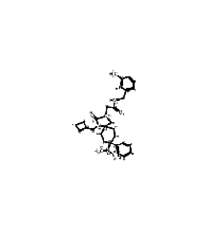 Cc1cccc(CNC(=O)CN2CC3(CCC(c4ccccc4)(N(C)C)CC3)N(CC3CCC3)C2=O)n1